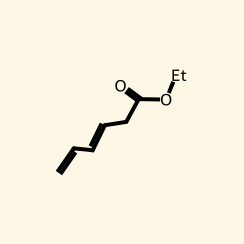 C=CC=CCC(=O)OCC